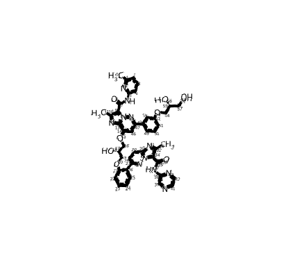 Cc1cccc(NC(=O)c2c(C)nc3c(OC[C@@H](O)COc4ccccc4-c4ccc5nc(C)c(C(=O)Nc6cnccn6)n5n4)cc(-c4cccc(OC[C@H](O)CO)c4)nn23)n1